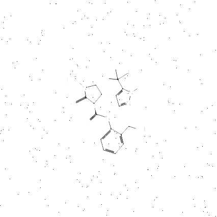 CCc1ccccc1NC(=O)[C@H]1C(=O)N(C)C[C@@H]1c1cnn(C)c1C(F)(F)F